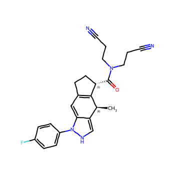 C[C@H]1C2=CNN(c3ccc(F)cc3)C2=CC2=C1[C@@H](C(=O)N(CCC#N)CCC#N)CC2